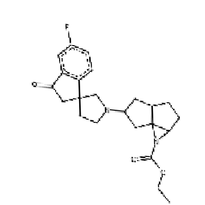 CCOC(=O)N1C2CCC3CC(N4CCC5(CC(=O)c6cc(F)ccc65)C4)CC321